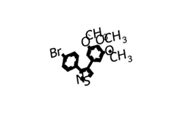 COc1cc(-c2csnc2-c2ccc(Br)cc2)cc(OC)c1OC